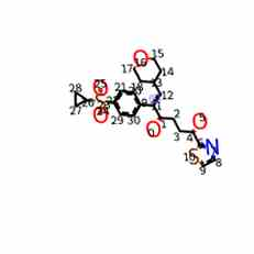 O=C(CCC(=O)c1nccs1)/C(=C/C1CCOCC1)c1ccc(S(=O)(=O)C2CC2)cc1